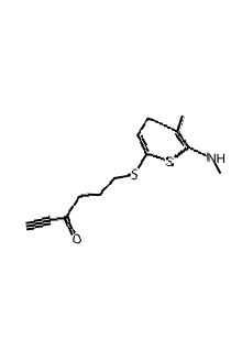 C#CC(=O)CCCSC1=CCC(C)=C(NC)S1